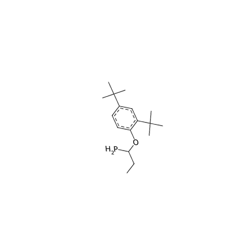 CCC(P)Oc1ccc(C(C)(C)C)cc1C(C)(C)C